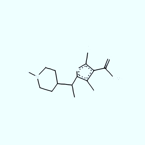 COC(=O)c1c(Br)sc(C(C)C2CCN(C(C)(C)C)CC2)c1C